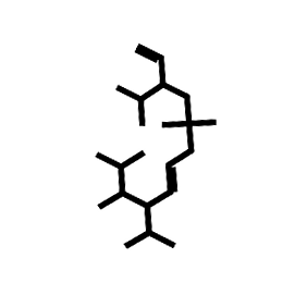 C=CC(CC(C)(C)CC=CC(C(C)C)C(C)C(C)C)C(C)C